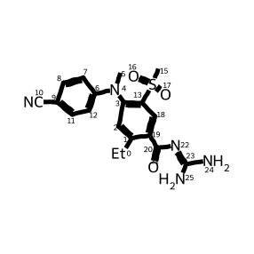 CCc1cc(N(C)c2ccc(C#N)cc2)c(S(C)(=O)=O)cc1C(=O)N=C(N)N